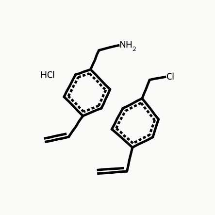 C=Cc1ccc(CCl)cc1.C=Cc1ccc(CN)cc1.Cl